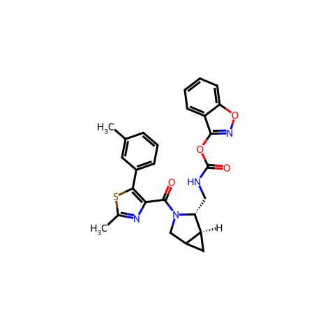 Cc1cccc(-c2sc(C)nc2C(=O)N2CC3C[C@@H]3[C@H]2CNC(=O)Oc2noc3ccccc23)c1